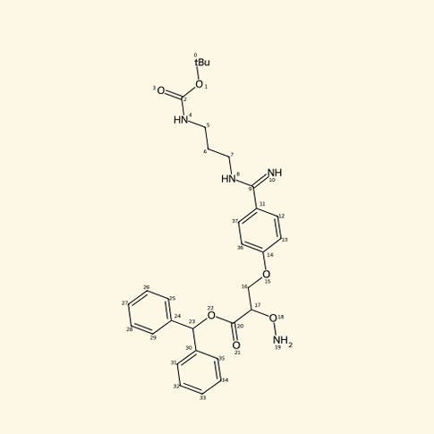 CC(C)(C)OC(=O)NCCCNC(=N)c1ccc(OCC(ON)C(=O)OC(c2ccccc2)c2ccccc2)cc1